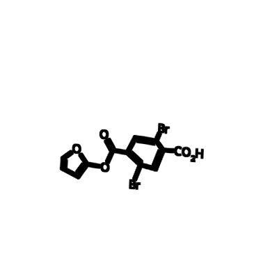 O=C(O)c1cc(Br)c(C(=O)Oc2ccco2)cc1Br